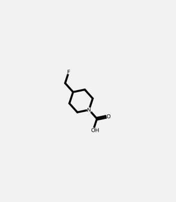 O=C(O)N1CCC(CF)CC1